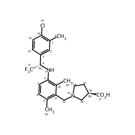 Cc1cc([C@H](Nc2ccc(C)c(CN3CC[C@@H](C(=O)O)C3)c2C)C(F)(F)F)ccc1Cl